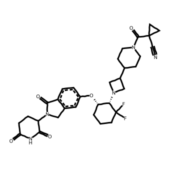 N#CC1(C(=O)N2CCC(C3CN([C@H]4[C@@H](Oc5ccc6c(c5)CN(C5CCC(=O)NC5=O)C6=O)CCCC4(F)F)C3)CC2)CC1